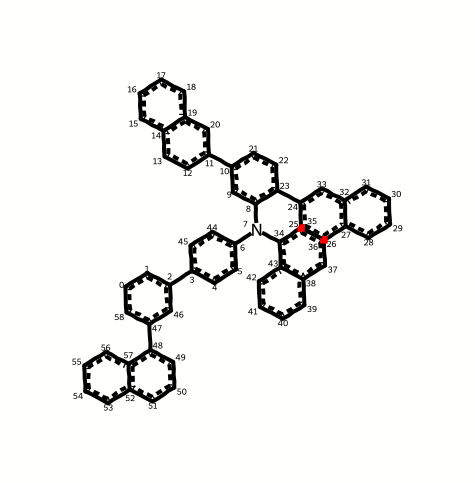 c1cc(-c2ccc(N(c3cc(-c4ccc5ccccc5c4)ccc3-c3ccc4ccccc4c3)c3cccc4ccccc34)cc2)cc(-c2cccc3ccccc23)c1